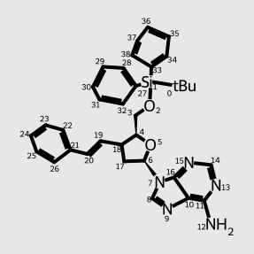 CC(C)(C)[Si](OC[C@H]1O[C@@H](n2cnc3c(N)ncnc32)CC1C=Cc1ccccc1)(c1ccccc1)c1ccccc1